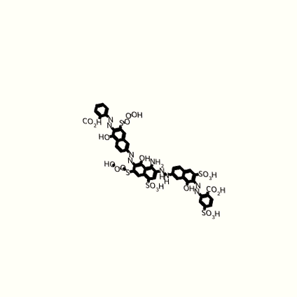 Nc1c(NNc2ccc3cc(S(=O)(=O)O)c(N=Nc4cc(S(=O)(=O)O)ccc4C(=O)O)c(O)c3c2)cc(S(=O)(=O)O)c2cc(SOOO)c(N=Nc3ccc4c(O)c(N=Nc5ccccc5C(=O)O)c(SOOO)cc4c3)c(O)c12